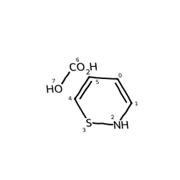 C1=CNSC=C1.O=C(O)O